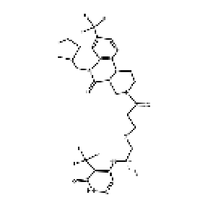 C[C@@H](COCCC(=O)N1CCN2c3ncc(C(F)(F)F)cc3N(CC3CCCC3)C(=O)C2C1)Nc1cn[nH]c(=O)c1C(F)(F)F